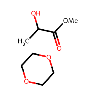 C1COCCO1.COC(=O)C(C)O